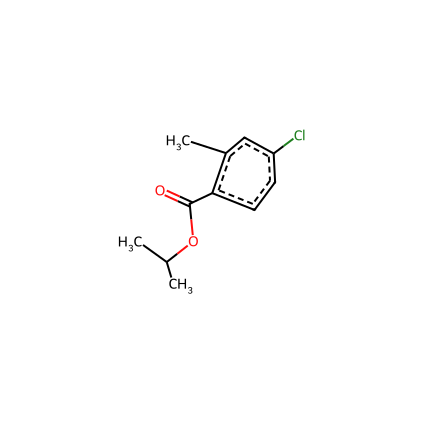 Cc1cc(Cl)ccc1C(=O)OC(C)C